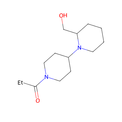 CCC(=O)N1CCC(N2CCCCC2CO)CC1